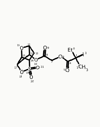 CCC(C)(I)C(=O)OCC(=O)OC1C2CC3C(O2)C1OS3(=O)=O